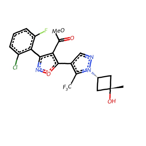 COC(=O)c1c(-c2c(F)cccc2Cl)noc1-c1cnn([C@H]2C[C@@](C)(O)C2)c1C(F)(F)F